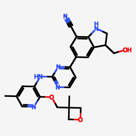 Cc1cnc(OCC2(C)COC2)c(Nc2nccc(-c3cc(C#N)c4c(c3)C(CO)CN4)n2)c1